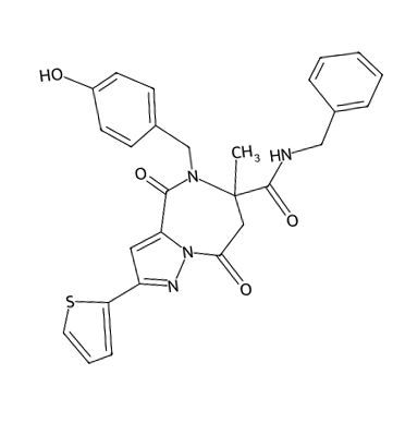 CC1(C(=O)NCc2ccccc2)CC(=O)n2nc(-c3cccs3)cc2C(=O)N1Cc1ccc(O)cc1